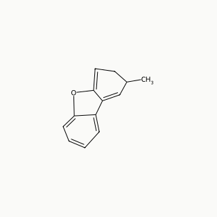 CC1C=c2c(oc3ccccc23)=CC1